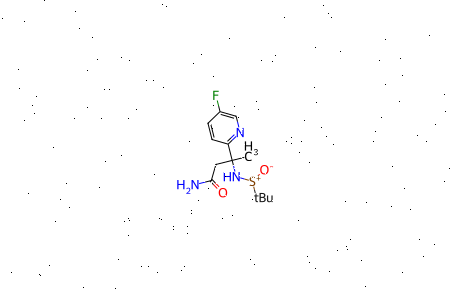 CC(CC(N)=O)(N[S+]([O-])C(C)(C)C)c1ccc(F)cn1